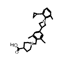 Cc1cc(C2CN(c3c(C)cccc3C3CC3)C2)cc(C)c1CN1CCC(C(=O)O)CC1